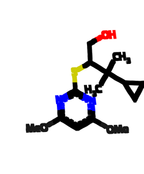 COc1cc(OC)nc(SC(CO)C(C)(C)C2CC2)n1